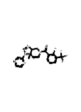 CC12C=CN(C(=O)c3cccc(C(F)(F)F)c3Cl)CC1N=NN2c1cnccn1